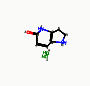 Cl.Cl.O=c1ccc2c([nH]1)CCN2